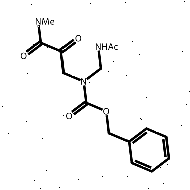 CNC(=O)C(=O)CN(CNC(C)=O)C(=O)OCc1ccccc1